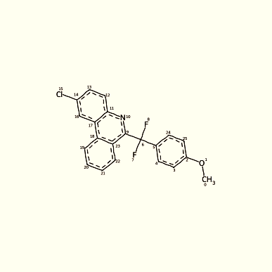 COc1ccc(C(F)(F)c2nc3ccc(Cl)cc3c3ccccc23)cc1